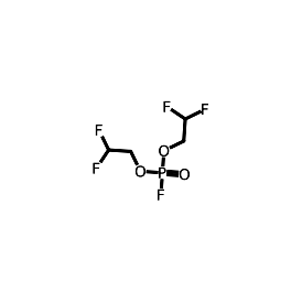 O=P(F)(OCC(F)F)OCC(F)F